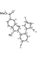 COC(=O)c1ccn2c(C#N)c(-c3cc(F)ccc3-c3cn(C)nc3F)nc2c1